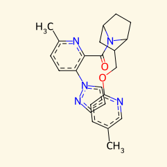 Cc1ccc(OCC2CC3CCC2N3C(=O)c2nc(C)ccc2-n2cccn2)nc1